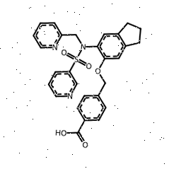 O=C(O)c1ccc(COc2cc3c(cc2N(Cc2ccccn2)S(=O)(=O)c2cccnc2)CCC3)cc1